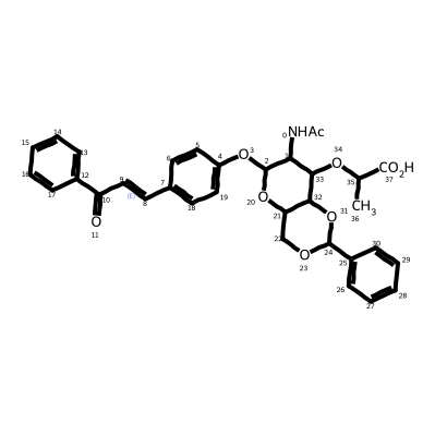 CC(=O)NC1C(Oc2ccc(/C=C/C(=O)c3ccccc3)cc2)OC2COC(c3ccccc3)OC2C1OC(C)C(=O)O